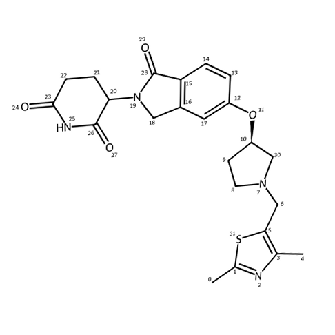 Cc1nc(C)c(CN2CC[C@@H](Oc3ccc4c(c3)CN(C3CCC(=O)NC3=O)C4=O)C2)s1